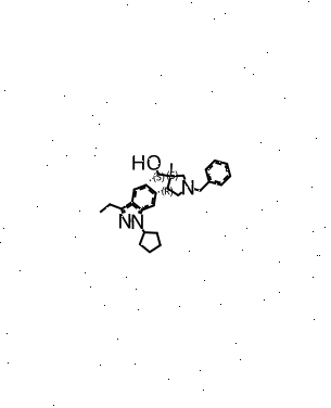 CCc1nn(C2CCCC2)c2cc([C@H]3CN(Cc4ccccc4)C[C@@]3(C)[C@H](C)O)ccc12